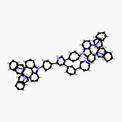 c1ccc(N(c2ccccc2)c2cccc3c2c2c(N(c4ccccc4)c4ccccc4)cccc2n3-c2ccc(-c3cc(-c4cccc(-c5cccnc5)c4)c(-c4ccc(-n5c6cccc(N(c7ccccc7)c7ccccc7)c6c6c(N(c7ccccc7)c7ccccc7)cccc65)cc4)cn3)cc2)cc1